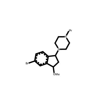 COC1CC(N2CCN(C(C)C)CC2)c2ccc(Br)cc21